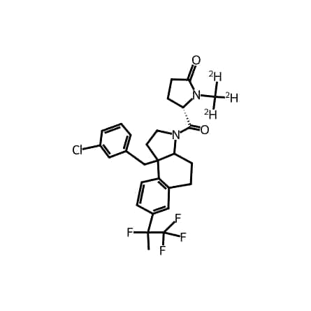 [2H]C([2H])([2H])N1C(=O)CC[C@H]1C(=O)N1CCC2(Cc3cccc(Cl)c3)c3ccc(C(C)(F)C(F)(F)F)cc3CCC12